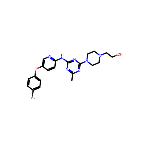 CC(=O)c1ccc(Oc2ccc(Nc3nc(C)nc(N4CCN(CCO)CC4)n3)nc2)cc1